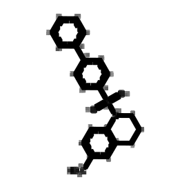 O=C(O)c1ccc2c(c1)CCCN2S(=O)(=O)c1ccc(-c2ccccc2)cc1